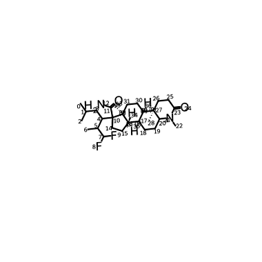 CC(C)CC(C(C)C(F)F)C1(C(N)=O)CC[C@H]2[C@@H]3CCC4N(C)C(=O)CC[C@]4(C)[C@@H]3CC[C@@]21C